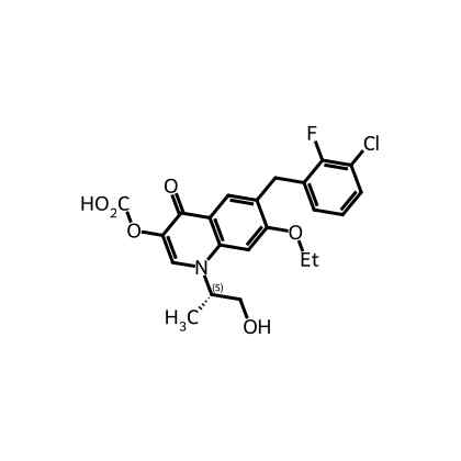 CCOc1cc2c(cc1Cc1cccc(Cl)c1F)c(=O)c(OC(=O)O)cn2[C@@H](C)CO